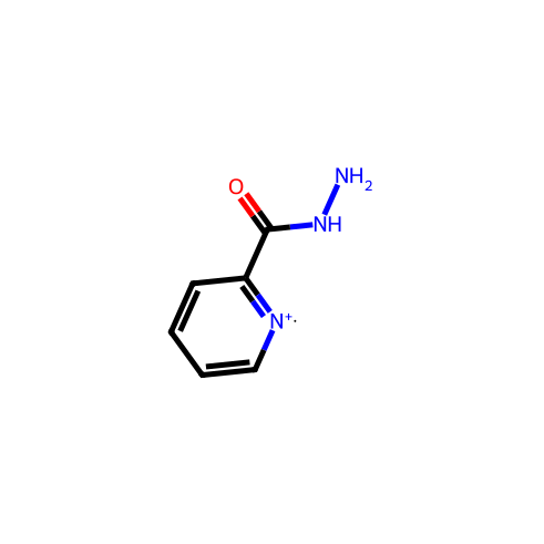 NNC(=O)C1=[N+]C=CC=C1